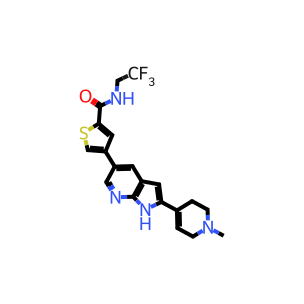 CN1CC=C(c2cc3cc(-c4csc(C(=O)NCC(F)(F)F)c4)cnc3[nH]2)CC1